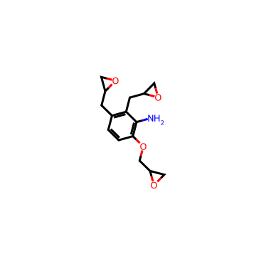 Nc1c(OCC2CO2)ccc(CC2CO2)c1CC1CO1